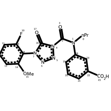 CCCN(C(=O)n1nnn(-c2c(F)cccc2OC)c1=O)c1cccc(C(=O)O)c1